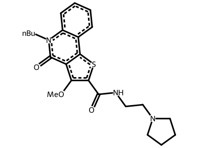 CCCCn1c(=O)c2c(OC)c(C(=O)NCCN3CCCC3)sc2c2ccccc21